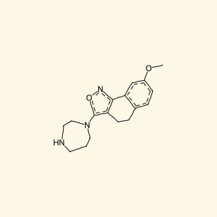 COc1ccc2c(c1)-c1noc(N3CCCNCC3)c1CC2